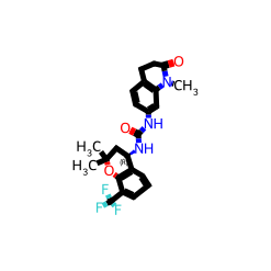 CN1C(=O)CCc2ccc(NC(=O)N[C@@H]3CC(C)(C)Oc4c3cccc4C(F)(F)F)cc21